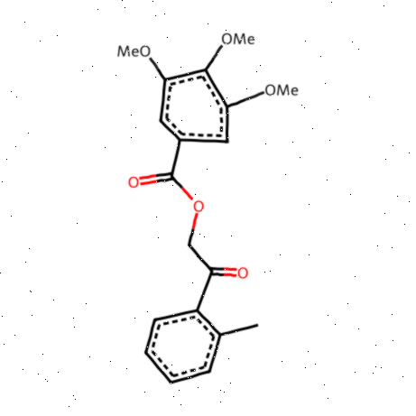 COc1cc(C(=O)OCC(=O)c2ccccc2C)cc(OC)c1OC